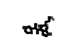 NCC[C@H]1N=c2[nH]ccc2=C(NC(=O)C2=CNCCS2)N1